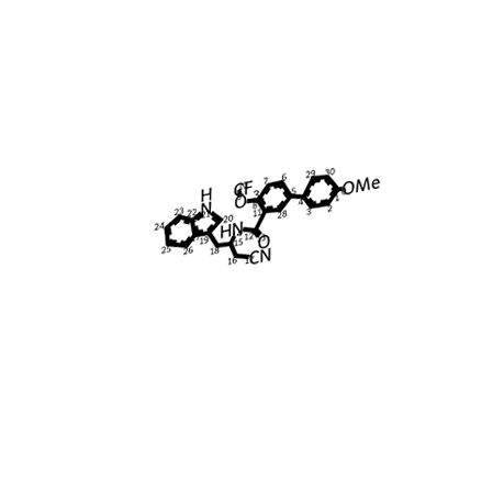 COc1ccc(-c2ccc(OC(F)(F)F)c(C(=O)NC(CC#N)Cc3c[nH]c4ccccc34)c2)cc1